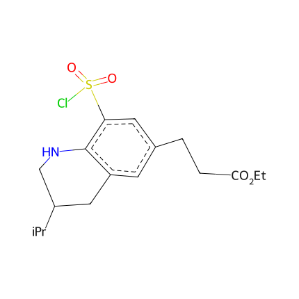 CCOC(=O)CCc1cc2c(c(S(=O)(=O)Cl)c1)NCC(C(C)C)C2